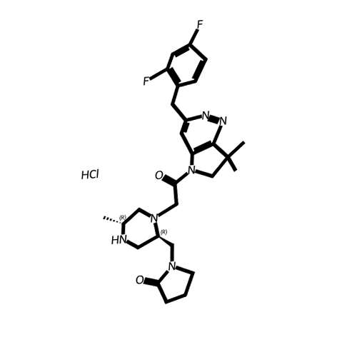 C[C@@H]1CN(CC(=O)N2CC(C)(C)c3nnc(Cc4ccc(F)cc4F)cc32)[C@@H](CN2CCCC2=O)CN1.Cl